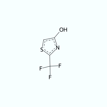 Oc1csc(C(F)(F)F)n1